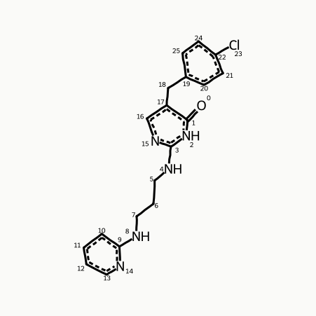 O=c1[nH]c(NCCCNc2ccccn2)ncc1Cc1ccc(Cl)cc1